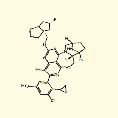 Oc1cc(Cl)c(C2CC2)c(-c2nc3c4c(nc(OC[C@]56CCCN5C[C@H](F)C6)nc4c2F)N2C[C@@H]4CC[C@@H](N4)[C@@H]2CO3)c1